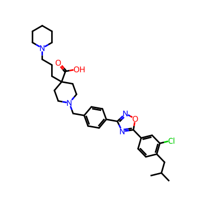 CC(C)Cc1ccc(-c2nc(-c3ccc(CN4CCC(CCCN5CCCCC5)(C(=O)O)CC4)cc3)no2)cc1Cl